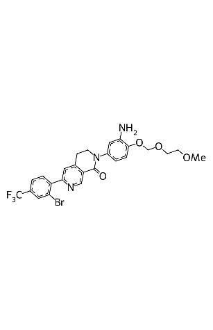 COCCOCOc1ccc(N2CCc3cc(-c4ccc(C(F)(F)F)cc4Br)ncc3C2=O)cc1N